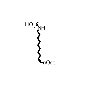 CCCCCCCC/C=C\CCCCCCCCNC(=O)O